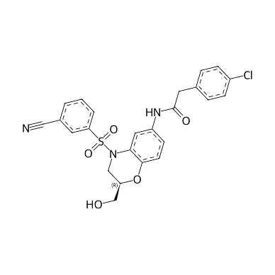 N#Cc1cccc(S(=O)(=O)N2C[C@H](CO)Oc3ccc(NC(=O)Cc4ccc(Cl)cc4)cc32)c1